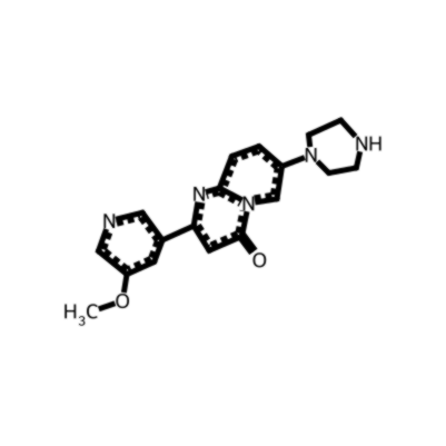 COc1cncc(-c2cc(=O)n3cc(N4CCNCC4)ccc3n2)c1